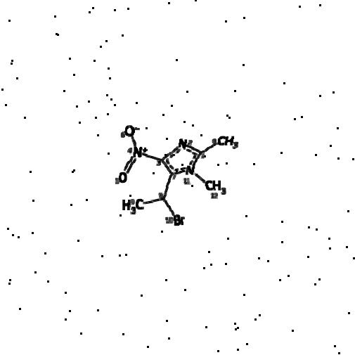 Cc1nc([N+](=O)[O-])c(C(C)Br)n1C